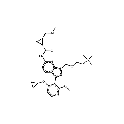 CNC[C@@H]1C[C@H]1C(=O)Nc1ccc2c(-c3c(OC4CC4)ccnc3OC)cn(COCC[Si](C)(C)C)c2n1